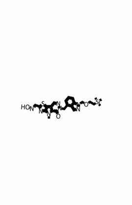 Cn1c2nc(/C=N/O)sc2c2cnn(Cc3cccc4c3cnn4COCC[Si](C)(C)C)c(=O)c21